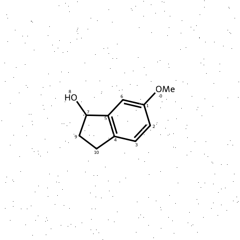 COc1ccc2c(c1)[C](O)CC2